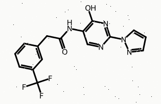 O=C(Cc1cccc(C(F)(F)F)c1)Nc1cnc(-n2cccn2)nc1O